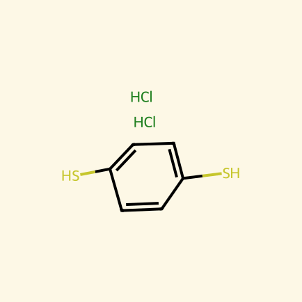 Cl.Cl.Sc1ccc(S)cc1